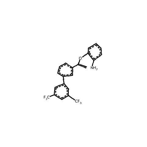 C=C(Oc1ccccc1N)c1cccc(-c2cc(C(F)(F)F)cc(C(F)(F)F)c2)c1